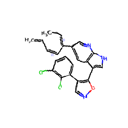 C=C/C=C\C(=C/C)c1cnc2[nH]cc(-c3oncc3-c3cccc(Cl)c3Cl)c2c1